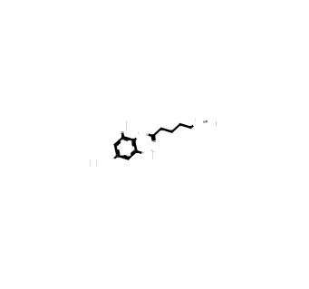 CCOCCCCC(=O)Oc1c(Cl)cc(C)cc1Cl